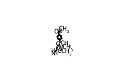 COC(=O)c1ccc(COP(CCC#N)N(C(C)C)C(C)C)cc1